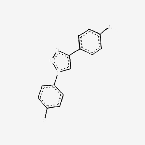 O=[N+]([O-])c1ccc(-c2cn(-c3ccc(O)cc3)nn2)cc1